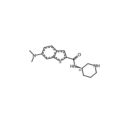 CN(C)c1ccc2cc(C(=O)N[C@@H]3CCCNC3)sc2c1